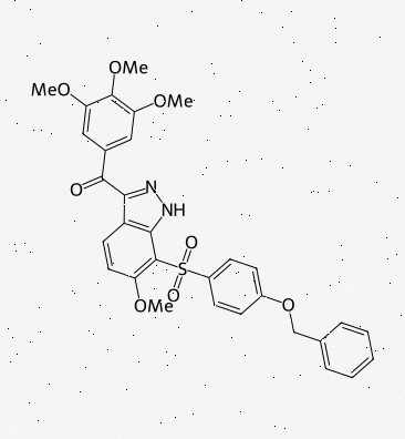 COc1cc(C(=O)c2n[nH]c3c(S(=O)(=O)c4ccc(OCc5ccccc5)cc4)c(OC)ccc23)cc(OC)c1OC